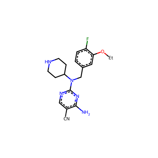 CCOc1cc(CN(c2ncc(C#N)c(N)n2)C2CCNCC2)ccc1F